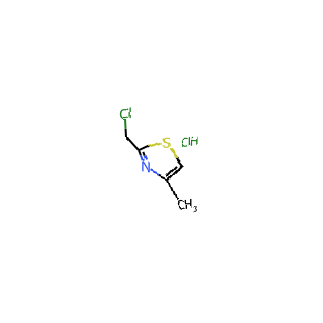 Cc1csc(CCl)n1.Cl